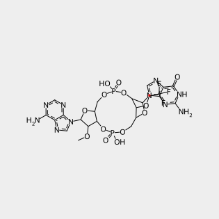 COC1C2OP(=O)(O)OCC3OC(n4cnc5c(=O)[nH]c(N)nc54)C(OP(=O)(O)OCC2OC1n1cnc2c(N)ncnc21)C3OCC(F)(F)F